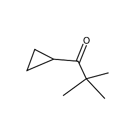 CC(C)(C)C(=O)C1CC1